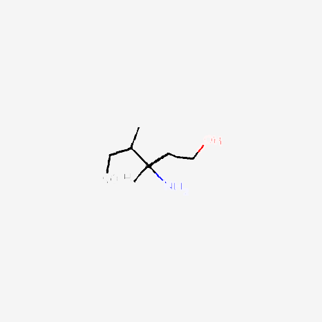 CC(CS(=O)(=O)O)C(C)(N)CCO